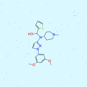 COc1cc(OC)cc(-n2ccc(N(C3CCN(C)CC3)C(O)c3cccs3)n2)c1